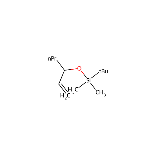 C=CC(CCC)O[Si](C)(C)C(C)(C)C